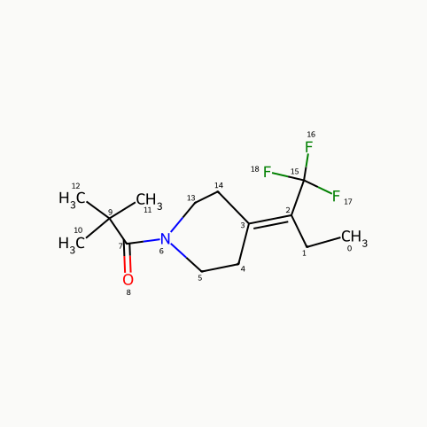 CCC(=C1CCN(C(=O)C(C)(C)C)CC1)C(F)(F)F